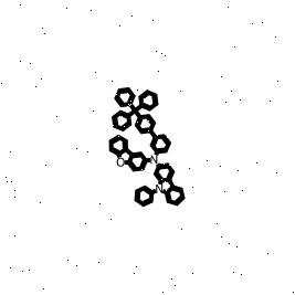 c1ccc(-n2c3ccccc3c3ccc(N(c4cccc(-c5ccc(C(c6ccccc6)(c6ccccc6)c6ccccc6)cc5)c4)c4ccc5oc6ccccc6c5c4)cc32)cc1